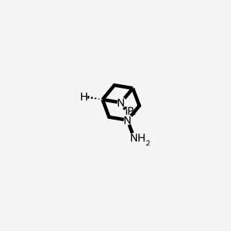 CC(C)N1C2C[C@@H]1CN(N)C2